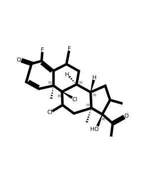 CC(=O)[C@@]1(O)C(C)C[C@H]2[C@@H]3CC(F)C4=C(F)C(=O)C=C[C@]4(C)[C@@]3(Cl)C(Cl)C[C@@]21C